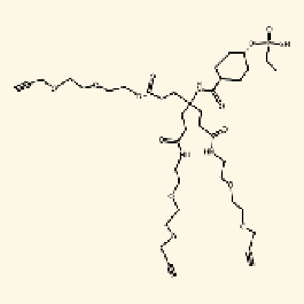 C#CCOCCOCCNC(=O)CCC(CCC(=O)NCCOCCOCC#C)(CCC(=O)NCCOCCOCC#C)NC(=O)[C@H]1CC[C@H](OP(=O)(S)CC)CC1